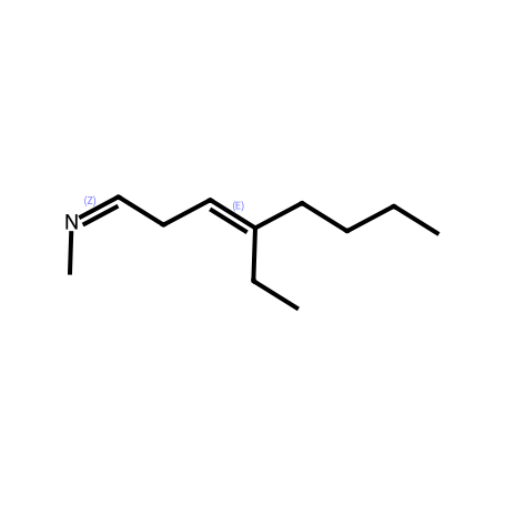 CCCC/C(=C/C/C=N\C)CC